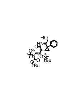 CC(C)(C)OC(=O)N1[C@@H]([C@H](O[Si](C)(C)C(C)(C)C)[C@@H]2C(=O)N[C@@H](CO)C3(c4ccccc4)CC23)COC1(C)C